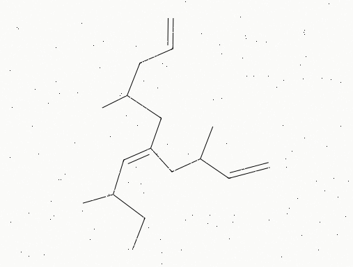 C=CCC(C)CC(=CC(C)CC)CC(C)C=C